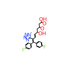 Cn1nnnc1C(C=CC(O)CC(=O)CC(=O)O)=C(c1ccc(F)cc1)c1ccc(F)cc1